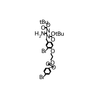 CC(C)(C)OC(=O)/N=C(\N)N(Cc1ccc(OCCCOS(=O)(=O)c2ccc(Br)cc2)c(Br)c1)C(=O)OC(C)(C)C